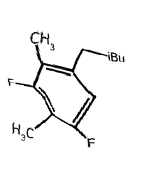 CCC(C)Cc1cc(F)c(C)c(F)c1C